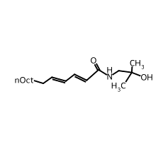 CCCCCCCCC/C=C/C=C/C(=O)NCC(C)(C)O